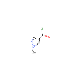 CC(C)(C)n1cc(C(=O)Cl)cn1